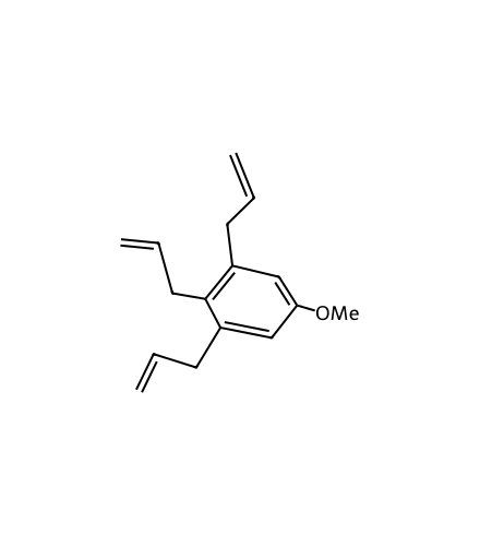 C=CCc1cc(OC)cc(CC=C)c1CC=C